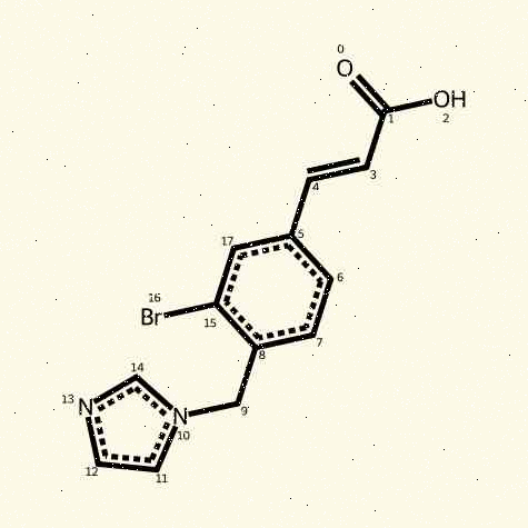 O=C(O)C=Cc1ccc(Cn2ccnc2)c(Br)c1